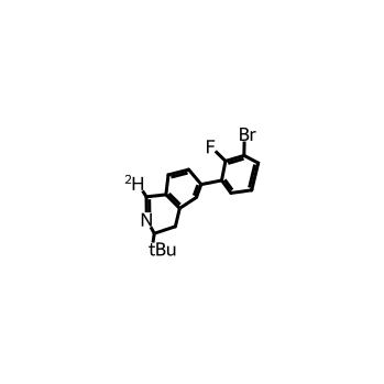 [2H]C1=NC(C(C)(C)C)Cc2cc(-c3cccc(Br)c3F)ccc21